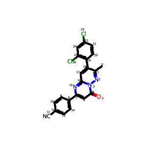 Cc1nn2c(=O)cc(-c3ccc(C#N)cc3)nc2cc1-c1ccc(Cl)cc1Cl